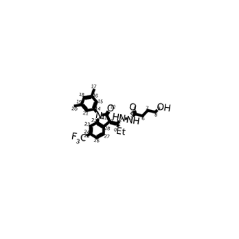 CC/C(NNC(=O)CCCO)=C1/C(=O)N(c2cc(C)cc(C)c2)c2cc(C(F)(F)F)ccc21